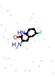 Nc1cc2cc(F)ccc2[nH]c1=O